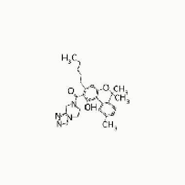 CCCCCc1cc2c(c(O)c1C(=O)N1CCn3cnnc3C1)-c1cc(C)ccc1C(C)(C)O2